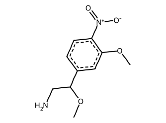 COc1cc(C(CN)OC)ccc1[N+](=O)[O-]